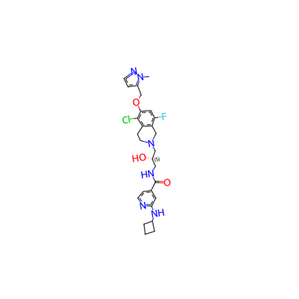 Cn1nccc1COc1cc(F)c2c(c1Cl)CCN(C[C@@H](O)CNC(=O)c1ccnc(NC3CCC3)c1)C2